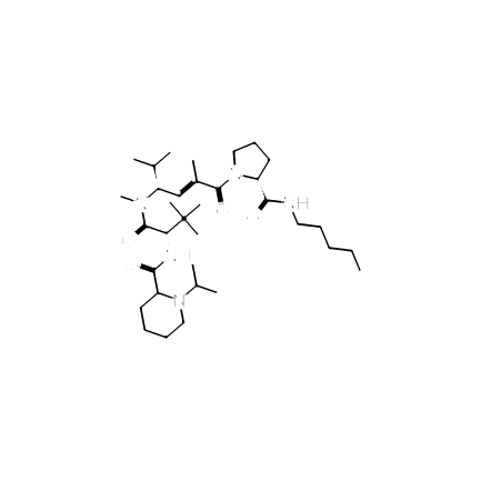 CCCCCNC(=O)[C@@H]1CCCN1C(=O)/C(C)=C/[C@H](C(C)C)N(C)C(=O)[C@@H](NC(=O)C1CCCCN1C(C)C)C(C)(C)C